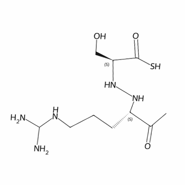 CC(=O)[C@H](CCCNC(N)N)NN[C@@H](CO)C(=O)S